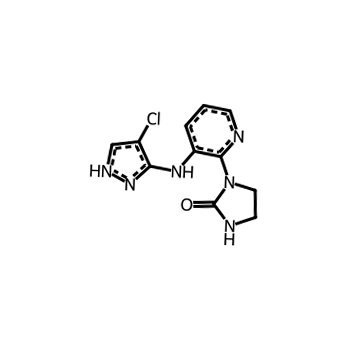 O=C1NCCN1c1ncccc1Nc1n[nH]cc1Cl